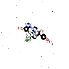 COc1ccc([C@H](C(=O)N2CCN(c3ncnc4c3[C@H](C)C[C@H]4O)CC2)[C@@H]2CCC(C)(C)N2)c(F)c1.Cl.Cl